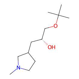 CN1CCC(C[C@@H](O)COC(C)(C)C)C1